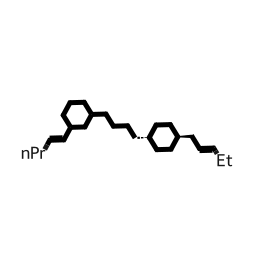 CC/C=C/C[C@H]1CC[C@H](CCCCC2CCCC(/C=C/CCC)C2)CC1